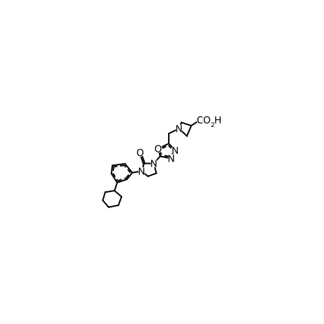 O=C(O)C1CN(Cc2nnc(N3CCN(c4cccc(C5CCCCC5)c4)C3=O)o2)C1